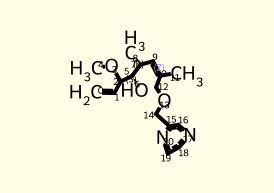 C=CC(OC)[C@@H](O)[C@H](C)/C=C(/C)COCc1cnccn1